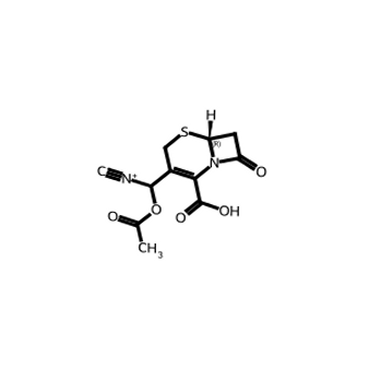 [C-]#[N+]C(OC(C)=O)C1=C(C(=O)O)N2C(=O)C[C@H]2SC1